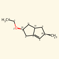 CCO[C@@H]1CC2=C[C@H](C)CC2C1